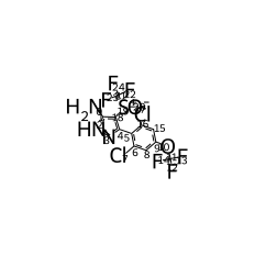 Nc1[nH]nc(-c2c(Cl)cc(OC(F)(F)F)cc2Cl)c1[S+]([O-])C(F)(F)F